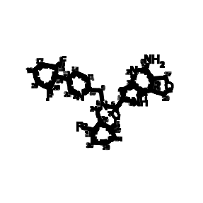 Nc1nc2cc(C(=O)N(Cc3ccc(-c4c(F)cccc4F)cn3)Cc3c(F)cccc3F)[nH]c2c2c1COC2